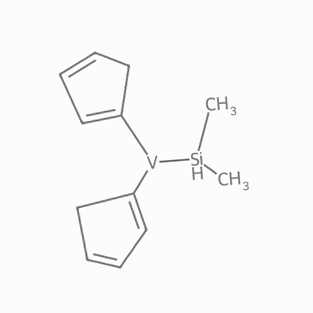 C[SiH](C)[V]([C]1=CC=CC1)[C]1=CC=CC1